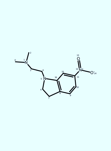 CN(C)CCN1CCc2ccc([N+](=O)[O-])cc21